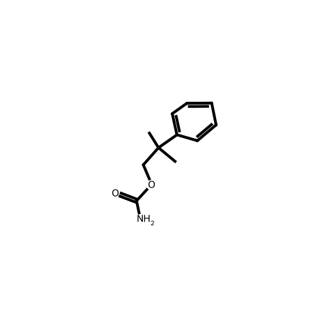 CC(C)(COC(N)=O)c1ccccc1